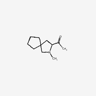 CC(=O)C1CC2(CCCC2)CN1C